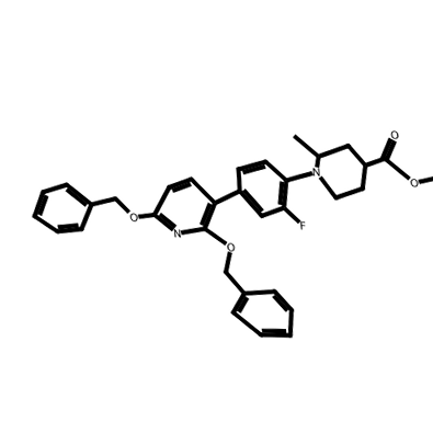 COC(=O)C1CCN(c2ccc(-c3ccc(OCc4ccccc4)nc3OCc3ccccc3)cc2F)C(C)C1